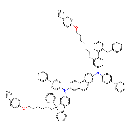 C=Cc1ccc(OCCCCCCCc2cc(N(c3ccc(-c4ccccc4)cc3)c3ccc4c(ccc5cc(N(c6ccc(-c7ccccc7)cc6)c6ccc7c(c6)C(CCCCCCOc6ccc(C=C)cc6)(c6ccccc6)c6ccccc6-7)ccc54)c3)ccc2-c2ccccc2Cc2ccccc2)cc1